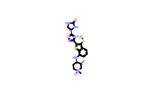 C[N+]1([O-])CC[C@@H](Nc2cccc3c(SC(F)(F)F)c(-c4noc([C@H]5CNC(=O)N5)n4)sc23)[C@@H](F)C1